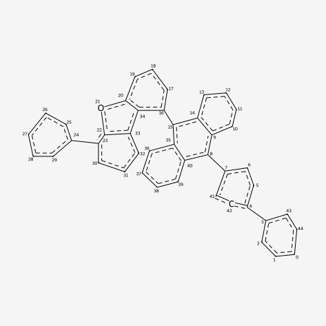 c1ccc(-c2ccc(-c3c4ccccc4c(-c4cccc5oc6c(-c7ccccc7)cccc6c45)c4ccccc34)cc2)cc1